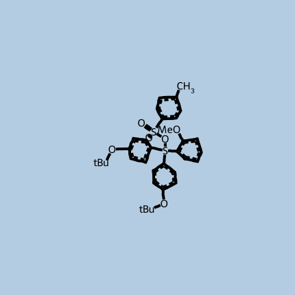 COc1ccccc1S(OS(=O)(=O)c1ccc(C)cc1)(c1ccc(OC(C)(C)C)cc1)c1ccc(OC(C)(C)C)cc1